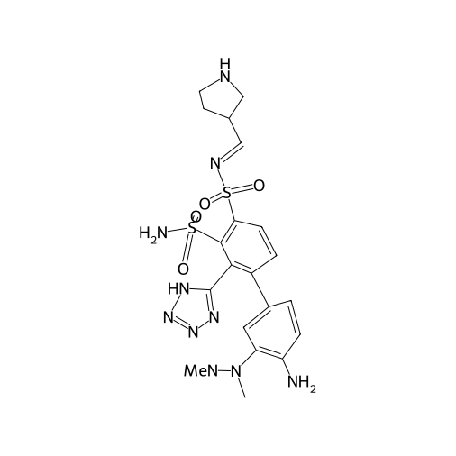 CNN(C)c1cc(-c2ccc(S(=O)(=O)/N=C/C3CCNC3)c(S(N)(=O)=O)c2-c2nnn[nH]2)ccc1N